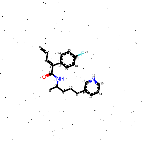 C=C/C=C(/C(=O)NC(C)CCCc1cccnc1)c1ccc(F)cc1